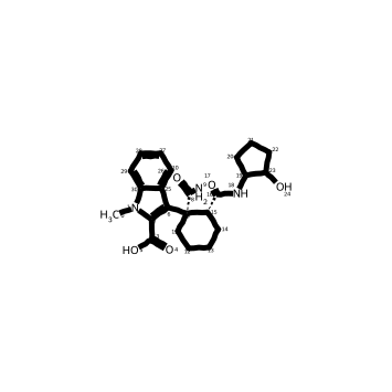 Cn1c(C(=O)O)c([C@]2(C(N)=O)CCCC[C@H]2C(=O)NC2CCCC2O)c2ccccc21